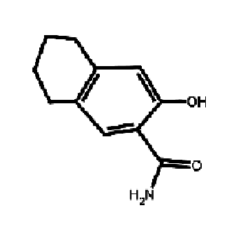 NC(=O)c1cc2c(cc1O)CCCC2